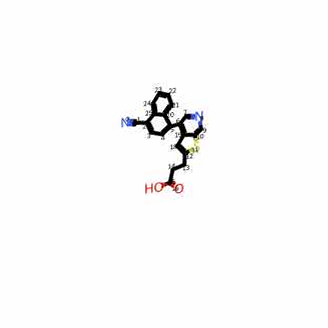 N#Cc1ccc(-c2cncc3sc(CCC(=O)O)cc23)c2ccccc12